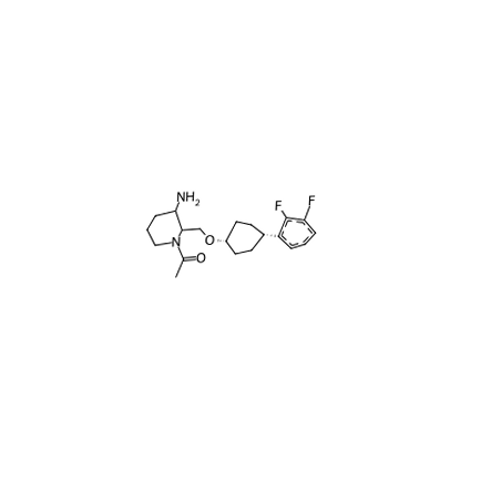 CC(=O)N1CCCC(N)C1CO[C@H]1CC[C@@H](c2cccc(F)c2F)CC1